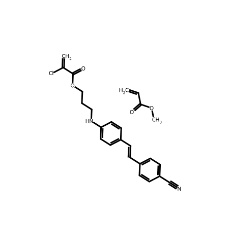 C=C(Cl)C(=O)OCCCNc1ccc(C=Cc2ccc(C#N)cc2)cc1.C=CC(=O)OC